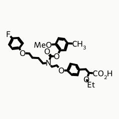 CCOC(Cc1ccc(OCCN(CCCCOc2ccc(F)cc2)C(=O)Oc2cc(C)ccc2OC)cc1)C(=O)O